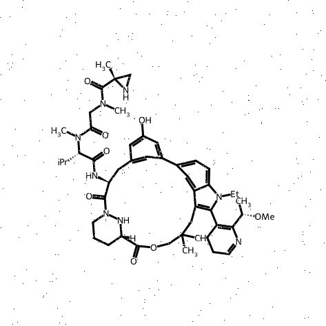 CCn1c(C2=C([C@H](C)OC)N=CCC2)c2c3cc(ccc31)-c1cc(O)cc(c1)C[C@H](NC(=O)[C@H](C(C)C)N(C)C(=O)CN(C)C(=O)[C@]1(C)CN1)C(=O)N1CCC[C@H](N1)C(=O)OCC(C)(C)C2